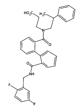 CC(CN(CCC(=O)O)C(=O)c1ccccc1-c1ccccc1C(=O)NCc1cc(F)ccc1F)c1ccccc1